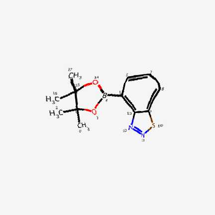 CC1(C)OB(c2cccc3snnc23)OC1(C)C